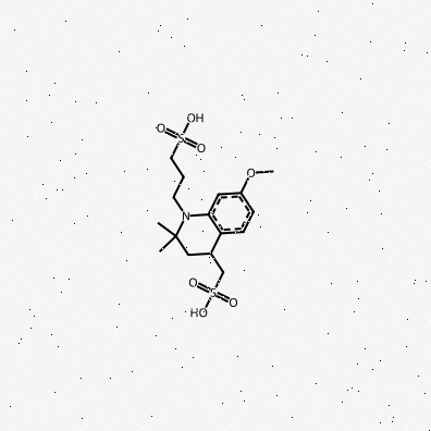 COc1ccc2c(c1)N(CCCS(=O)(=O)O)C(C)(C)CC2CS(=O)(=O)O